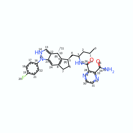 CCCC(C[C@H]1CCC2=C1[C@@H](C)C1=CNN(c3ccc(F)cc3)C1=C2)NC(=O)c1nccnc1C(N)=O